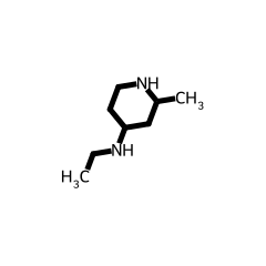 CCNC1CCNC(C)C1